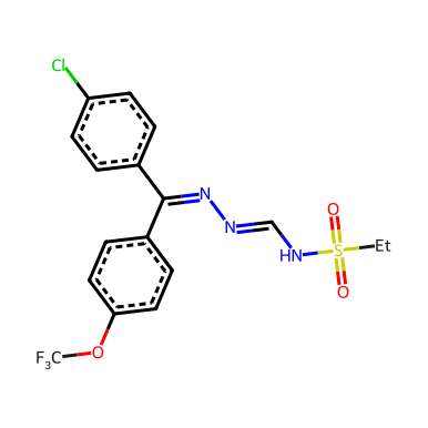 CCS(=O)(=O)NC=NN=C(c1ccc(Cl)cc1)c1ccc(OC(F)(F)F)cc1